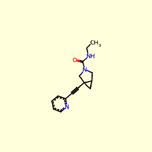 CCNC(=O)N1CC2CC2(C#Cc2ccccn2)C1